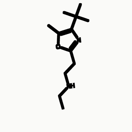 CCNCCc1nc(C(C)(C)C)c(C)o1